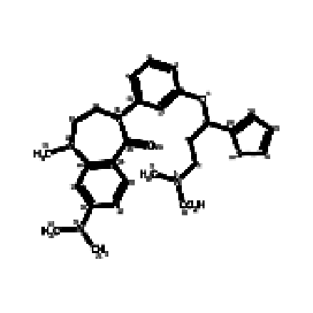 CN(CCC(Oc1cccc(N2CCN(C)c3cc(N(C)C)ncc3C2=O)c1)c1cccs1)C(=O)O